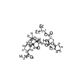 CCC(CC)COC(=O)C(C)NP(=O)(OCC1OC[C@@]2(N3C=CCC(C(N)=O)=C3)OC(C)(C)O[C@H]12)Oc1ccccc1